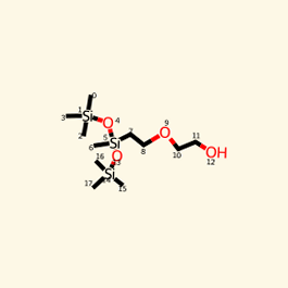 C[Si](C)(C)O[Si](C)(CCOCCO)O[Si](C)(C)C